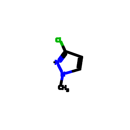 CN1C=CC(Cl)=[N+]1